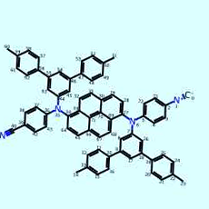 [C-]#[N+]c1ccc(N(c2cc(-c3ccc(C)cc3)cc(-c3ccc(C)cc3)c2)c2ccc3ccc4c(N(c5ccc(C#N)cc5)c5cc(-c6ccc(C)cc6)cc(-c6ccc(C)cc6)c5)ccc5ccc2c3c54)cc1